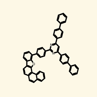 c1ccc(-c2ccc(-c3cc(-c4ccc(-c5ccccc5)cc4)nc(-c4ccc(-c5cccc6c5oc5c6ccc6ccc7ccccc7c65)cc4)n3)cc2)cc1